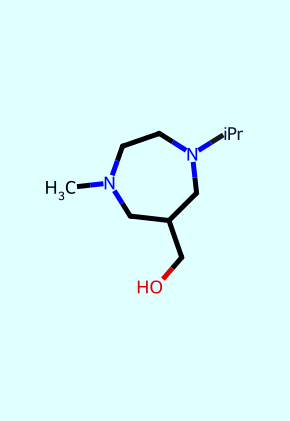 CC(C)N1CCN(C)CC(CO)C1